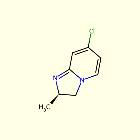 C[C@@H]1CN2C=CC(Cl)=CC2=N1